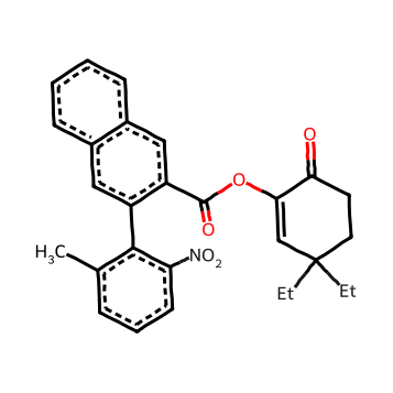 CCC1(CC)C=C(OC(=O)c2cc3ccccc3cc2-c2c(C)cccc2[N+](=O)[O-])C(=O)CC1